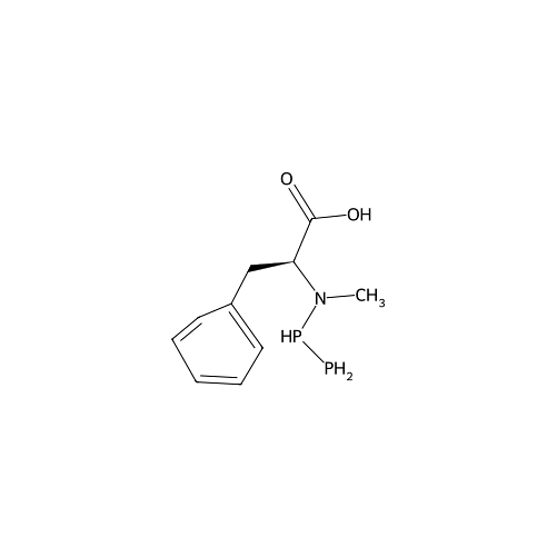 CN(PP)[C@@H](Cc1ccccc1)C(=O)O